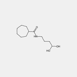 O=C(NCCCC(O)O)C1CCCCCC1